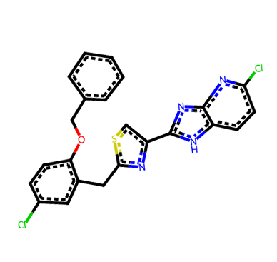 Clc1ccc(OCc2ccccc2)c(Cc2nc(-c3nc4nc(Cl)ccc4[nH]3)cs2)c1